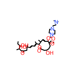 CCC(O)C(C)C1OC1CC(C)(O)/C=C/C=C(\C)C1OC(=O)CC(O)CCC(C)(OC)C(OC(=O)N2CCN(CCN(C)C)CC2)/C=C/C1C